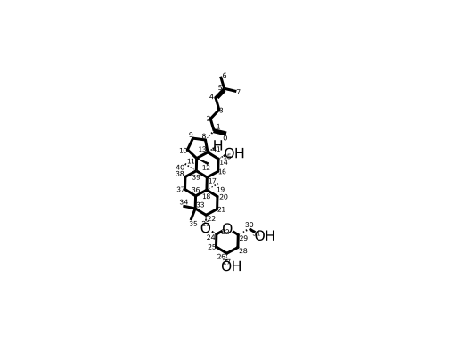 C=C(CCC=C(C)C)[C@H]1CC[C@]2(C)[C@@H]1[C@H](O)CC1[C@@]3(C)CC[C@H](O[C@H]4C[C@@H](O)C[C@@H](CO)O4)C(C)(C)C3CC[C@]12C